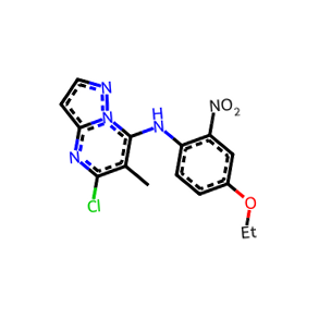 CCOc1ccc(Nc2c(C)c(Cl)nc3ccnn23)c([N+](=O)[O-])c1